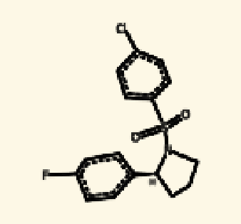 O=S(=O)(c1ccc(Cl)cc1)N1CCC[C@H]1c1ccc(F)cc1